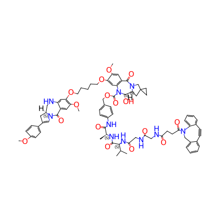 COc1ccc(C2=CN3C(=O)c4cc(OC)c(OCCCCCOc5cc6c(cc5OC)C(=O)N5CC7(CC7)C[C@H]5[C@H](O)N6C(=O)OCc5ccc(NC(=O)[C@H](C)NC(=O)[C@@H](NC(=O)CNC(=O)CNC(=O)CCC(=O)N6Cc7ccccc7C#Cc7ccccc76)C(C)C)cc5)cc4NC[C@@H]3C2)cc1